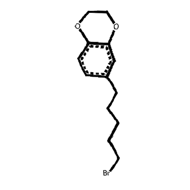 BrCCCCCc1ccc2c(c1)OCCO2